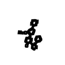 COc1cc(-c2cnccn2)ccc1-n1ccc(=O)c(-c2ccnn2-c2ccccc2)n1